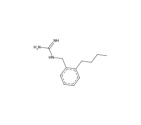 CCCCc1ccccc1CNC(=N)N